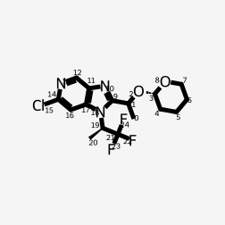 CC(O[C@H]1CCCCO1)c1nc2cnc(Cl)cc2n1[C@H](C)C(F)(F)F